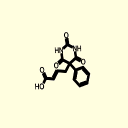 O=C(O)C=CCC1(c2ccccc2)C(=O)NC(=O)NC1=O